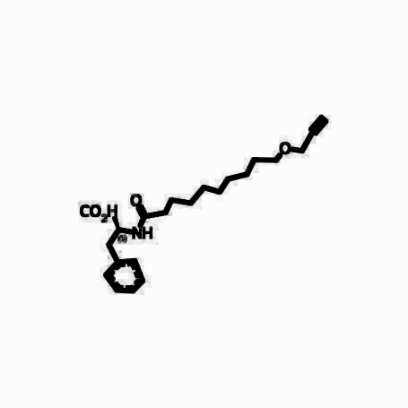 C#CCOCCCCCCCCCC(=O)N[C@@H](Cc1ccccc1)C(=O)O